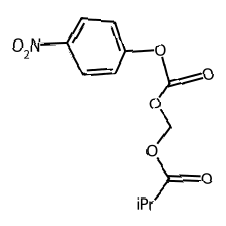 CC(C)C(=O)OCOC(=O)Oc1ccc([N+](=O)[O-])cc1